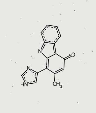 CC1=CC(=O)C2=c3ccccc3=NC2=C1c1c[nH]cn1